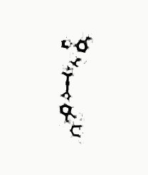 CC(C)(C(=O)Nc1ccc(C(F)(F)F)cc1-n1cccn1)n1cc(C#CC2CN(c3ccc4c(c3)C(=O)N(C3CCC(=O)NC3=O)C4O)C2)cn1